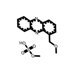 COCc1cccc2nc3ccccc3nc12.COS(=O)(=O)O